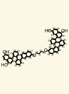 Oc1ccc2c(O)ccc(-c3ccccc3-c3ccccc3-c3ccc4ccc(OCCCCOc5ccc6ccc(-c7ccccc7-c7ccccc7-c7ccc(O)c8ccc(O)cc78)cc6c5)cc4c3)c2c1